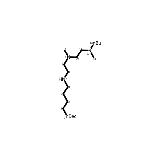 CCCCCCCCCCCCCCNCCN(C)CCN(C)CCCC